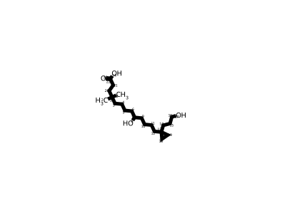 CC(C)(CCCCC(O)CCCCC1(CCCO)CC1)CCC(=O)O